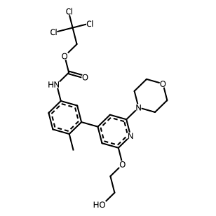 Cc1ccc(NC(=O)OCC(Cl)(Cl)Cl)cc1-c1cc(OCCO)nc(N2CCOCC2)c1